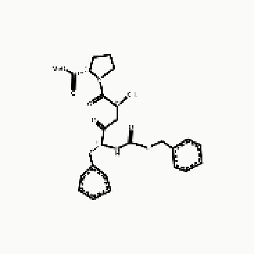 COC(=O)[C@@H]1CCCN1C(=O)[C@@H](C)CC(=O)[C@@H](Cc1ccccc1)NC(=O)OCc1ccccc1